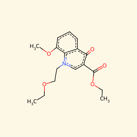 CCOCCn1cc(C(=O)OCC)c(=O)c2cccc(OC)c21